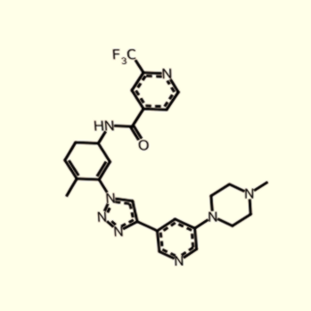 CC1=CCC(NC(=O)c2ccnc(C(F)(F)F)c2)C=C1n1cc(-c2cncc(N3CCN(C)CC3)c2)nn1